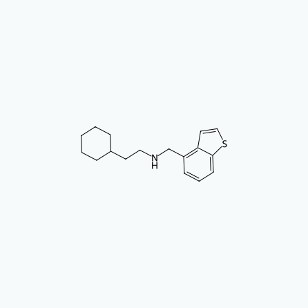 c1cc(CNCCC2CCCCC2)c2ccsc2c1